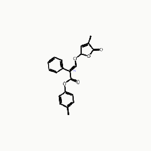 CC1=CC(O/C=C(/C(=O)Oc2ccc(C)cc2)c2ccccc2)OC1=O